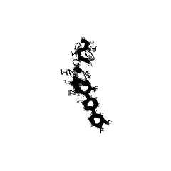 Fc1ccc(-c2ccc(-c3c(F)cc4[nH]c(O[C@@H]5CO[C@@H]6CCO[C@@H]65)nc4c3F)cc2)cc1F